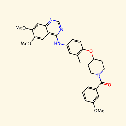 COc1cccc(C(=O)N2CCC(Oc3ccc(Nc4ncnc5cc(OC)c(OC)cc45)cc3C)CC2)c1